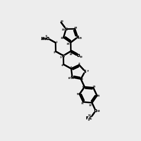 COCCN(Cc1csc(-c2ccc(OC(F)(F)F)cc2)n1)C(=O)c1cn(C)cn1